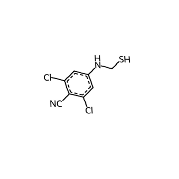 N#Cc1c(Cl)cc(NCS)cc1Cl